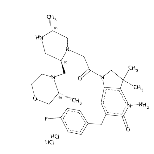 C[C@@H]1CN(CC(=O)N2CC(C)(C)c3c2cc(Cc2ccc(F)cc2)c(=O)n3N)[C@@H](CN2CCOC[C@H]2C)CN1.Cl.Cl